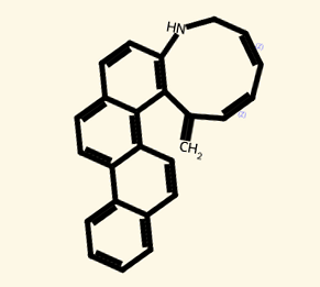 C=C1/C=C\C=C/CNc2ccc3ccc4c5ccccc5ccc4c3c21